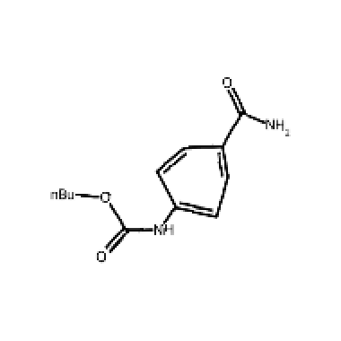 CCCCOC(=O)Nc1ccc(C(N)=O)cc1